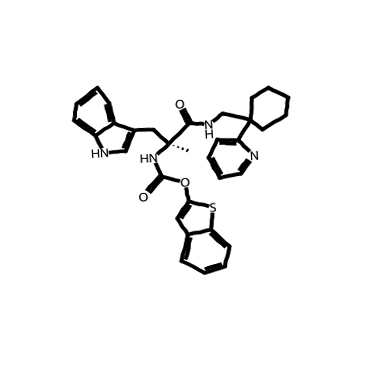 C[C@@](Cc1c[nH]c2ccccc12)(NC(=O)Oc1cc2ccccc2s1)C(=O)NCC1(c2ccccn2)CCCCC1